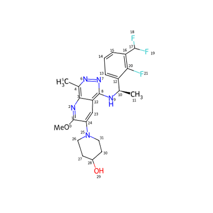 COc1nc2c(C)nnc(N[C@H](C)c3cccc(C(F)F)c3F)c2cc1N1CCC(O)CC1